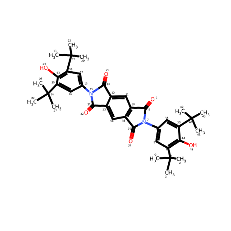 CC(C)(C)c1cc(-n2c(=O)c3cc4c(=O)n(-c5cc(C(C)(C)C)c(O)c(C(C)(C)C)c5)c(=O)c4cc3c2=O)cc(C(C)(C)C)c1O